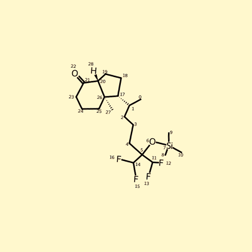 CC(CCCC(O[Si](C)(C)C)(C(F)F)C(F)F)[C@H]1CC[C@H]2C(=O)CCC[C@]12C